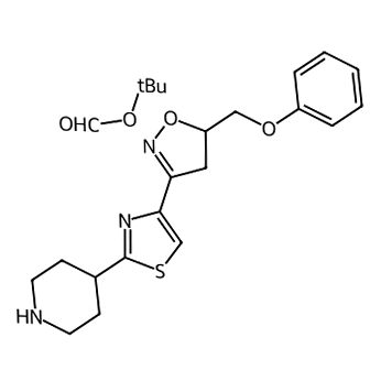 CC(C)(C)OC=O.c1ccc(OCC2CC(c3csc(C4CCNCC4)n3)=NO2)cc1